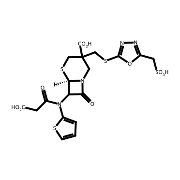 O=C(O)CC(=O)N(c1cccs1)C1C(=O)N2CC(CSc3nnc(CS(=O)(=O)O)o3)(C(=O)O)CS[C@H]12